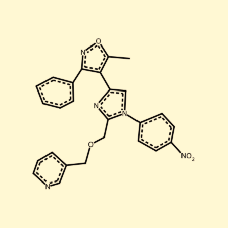 Cc1onc(-c2ccccc2)c1-c1cn(-c2ccc([N+](=O)[O-])cc2)c(COCc2cccnc2)n1